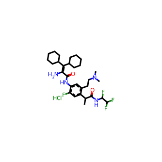 CC(C(=O)NC(F)C(F)F)c1cc(F)c(NC(=O)C(N)=C(C2CCCCC2)C2CCCCC2)cc1CCN(C)C.Cl